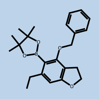 CCc1cc2c(c(OCc3ccccc3)c1B1OC(C)(C)C(C)(C)O1)CCO2